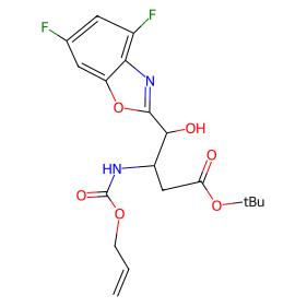 C=CCOC(=O)NC(CC(=O)OC(C)(C)C)C(O)c1nc2c(F)cc(F)cc2o1